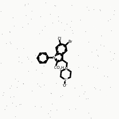 O=C(O)c1c(CN2CC[S+]([O-])CC2)c2cc(Br)c(Cl)cc2n1-c1ccccc1